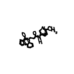 Cc1ccc(NC(=O)CCn2c(=O)c3cccn3c3ccccc32)cn1